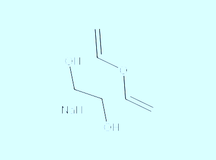 C=COC=C.OCCO.[NaH]